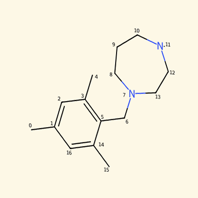 Cc1cc(C)c(CN2CCC[N]CC2)c(C)c1